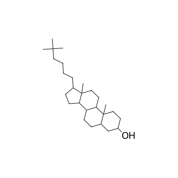 CC(C)(C)CCCCC1CCC2C3CCC4CC(O)CCC4(C)C3CCC12C